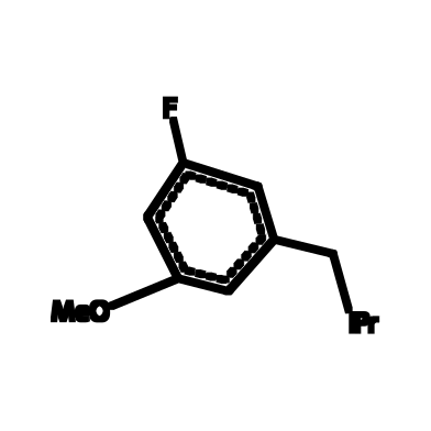 COc1cc(F)cc(CC(C)C)c1